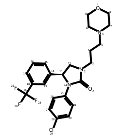 O=C1N(CCCN2CCOCC2)C[C@H](c2cccc(C(F)(F)F)c2)N1c1ccc(Cl)cc1